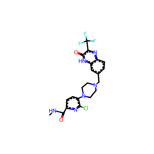 CNC(=O)c1ccc(N2CCN(Cc3ccc4nc(C(F)(F)F)c(=O)[nH]c4c3)CC2)c(Cl)n1